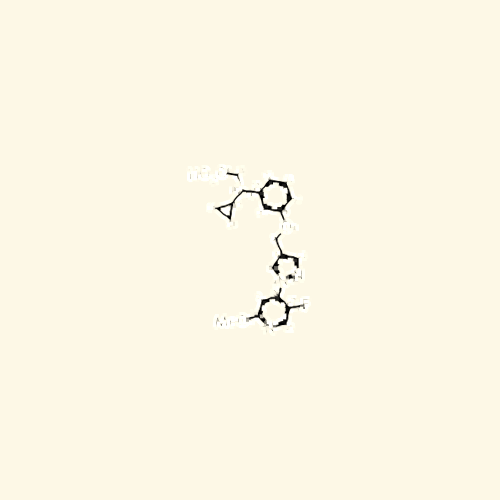 COc1cc(-n2cc(COc3cccc([C@H](CC(=O)O)C4CC4)c3)cn2)c(F)cn1